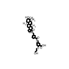 CC1(C)C(O)CCC2(C)C1CCC1(C)C3CCC4(C(=O)NCc5cccc(C(=O)NCc6ccc(OCCCO)c(C(=O)O)c6)c5)CCCC4C3CCC12